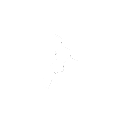 CC1(N2Cc3cc([N+](=O)[O-])cc(Br)c3C2)COC1